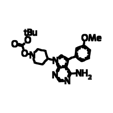 COc1cccc(-c2cn(C3CCN(OC(=O)OC(C)(C)C)CC3)c3ncnc(N)c23)c1